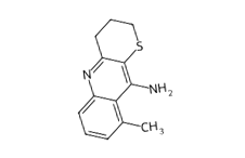 Cc1cccc2nc3c(c(N)c12)SCCC3